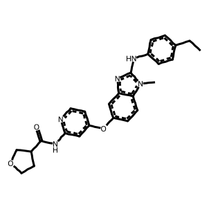 CCc1ccc(Nc2nc3cc(Oc4ccnc(NC(=O)C5CCOC5)c4)ccc3n2C)cc1